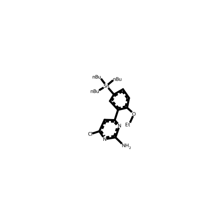 CCC[CH2][Sn]([CH2]CCC)([CH2]CCC)[c]1ccc(OCC)c(-c2cc(Cl)nc(N)n2)c1